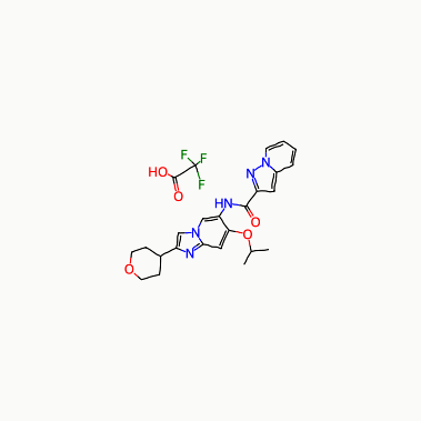 CC(C)Oc1cc2nc(C3CCOCC3)cn2cc1NC(=O)c1cc2ccccn2n1.O=C(O)C(F)(F)F